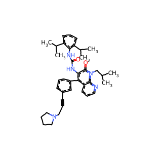 CC(C)Cn1c(=O)c(NC(=O)Nc2c(C(C)C)cccc2C(C)C)c(-c2cccc(C#CCN3CCCC3)c2)c2cccnc21